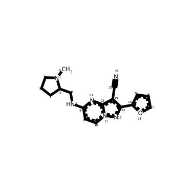 CN1CCCC1CNc1ccn2nc(-c3ccco3)c(C#N)c2n1